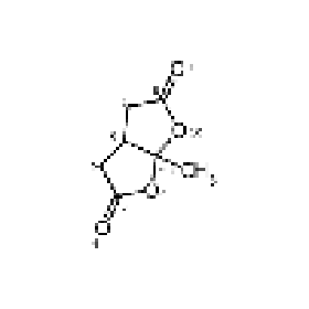 CC12OC(=O)CC1CC(=O)O2